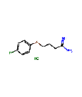 Cl.N=C(N)CCCSc1ccc(F)cc1